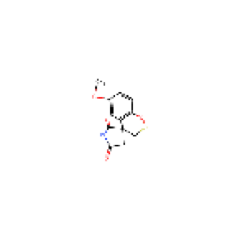 COc1ccc2c(c1)C1(CSO2)CC(=O)NC1=O